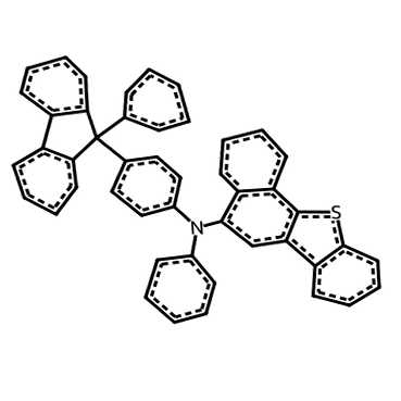 c1ccc(N(c2ccc(C3(c4ccccc4)c4ccccc4-c4ccccc43)cc2)c2cc3c4ccccc4sc3c3ccccc23)cc1